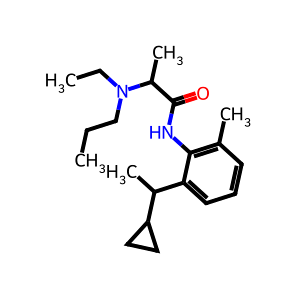 CCCN(CC)C(C)C(=O)Nc1c(C)cccc1C(C)C1CC1